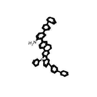 Nc1ccc(-c2ccc(-c3ccccc3)cc2)cc1-c1ccc2c(c1)CCc1cc3c4cc(-c5ccc(-c6ccccc6)cc5)ccc4n(-c4ccccc4)c3cc1-2